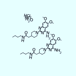 CCCCNC(=O)CC1CCN(c2nc(N)c3cc(OC)c(OC)cc3n2)CC1.CCCCNC(=O)CC1CCN(c2nc(N)c3cc(OC)c(OC)cc3n2)CC1.Cl.Cl.O